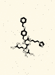 CC(C)CCN(C)[C@@H](CC(C)C)C(=O)N[C@@H](Cc1ccc(OCc2ccccc2)cc1)C(=O)NCCCn1ccnc1